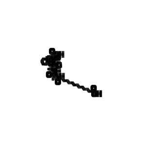 C[C@H](NC(=O)CCCCCCCCCCCCC(=O)O)C(=O)N[C@@H](C)C(=O)N1CCC[C@H]1C(=O)N[C@@H](Cc1ccccc1)C(=O)O